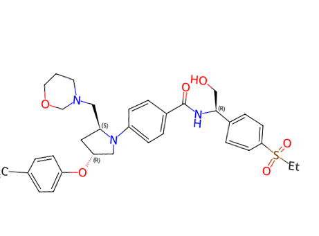 CCS(=O)(=O)c1ccc([C@H](CO)NC(=O)c2ccc(N3C[C@H](Oc4ccc(C(F)(F)F)cc4)C[C@H]3CN3CCCOC3)cc2)cc1